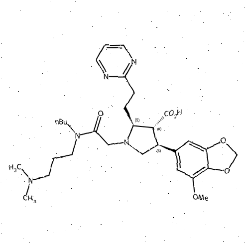 CCCCN(CCCN(C)C)C(=O)CN1C[C@H](c2cc(OC)c3c(c2)OCO3)[C@@H](C(=O)O)[C@@H]1CCc1ncccn1